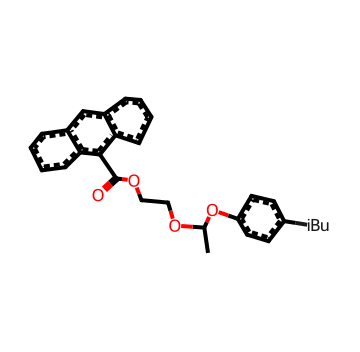 CCC(C)c1ccc(OC(C)OCCOC(=O)c2c3ccccc3cc3ccccc23)cc1